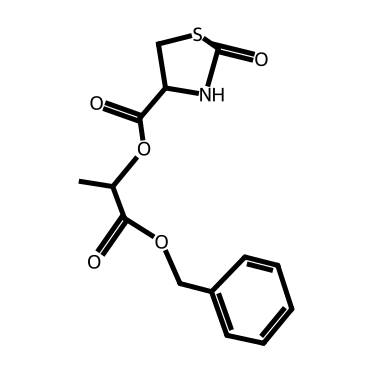 CC(OC(=O)C1CSC(=O)N1)C(=O)OCc1ccccc1